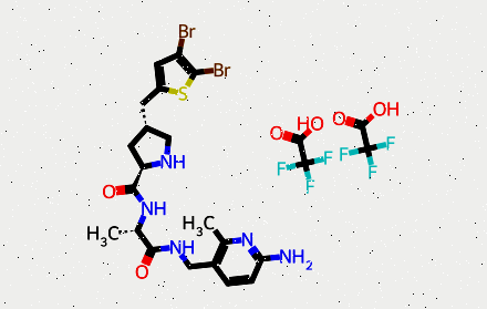 Cc1nc(N)ccc1CNC(=O)[C@H](C)NC(=O)[C@H]1C[C@H](Cc2cc(Br)c(Br)s2)CN1.O=C(O)C(F)(F)F.O=C(O)C(F)(F)F